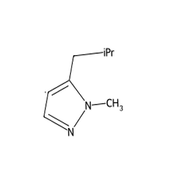 CC(C)Cc1[c]cnn1C